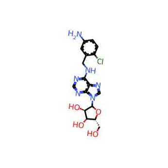 Nc1ccc(Cl)c(CNc2ncnc3c2ncn3C2O[C@H](CO)[C@@H](O)[C@H]2O)c1